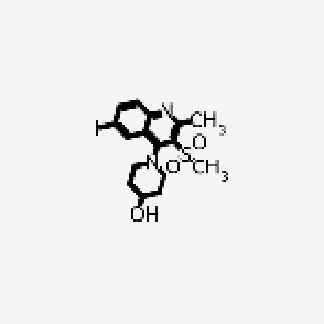 Cc1nc2ccc(I)cc2c(N2CCC(O)CC2)c1S(C)(=O)=O